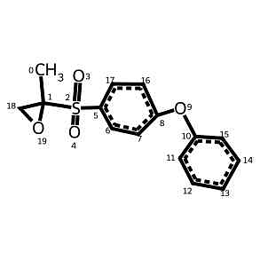 CC1(S(=O)(=O)c2ccc(Oc3ccccc3)cc2)CO1